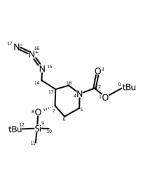 CC(C)(C)OC(=O)N1CC[C@H](O[Si](C)(C)C(C)(C)C)C(CN=[N+]=[N-])C1